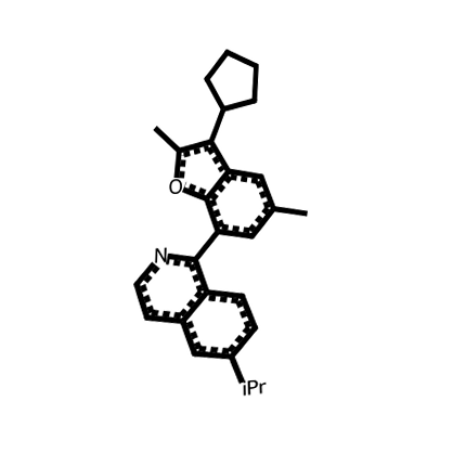 Cc1cc(-c2nccc3cc(C(C)C)ccc23)c2oc(C)c(C3CCCC3)c2c1